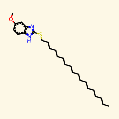 CCCCCCCCCCCCCCCCCCSc1nc2cc(OC)ccc2[nH]1